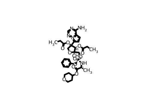 CCC(=O)O[C@@H]1[C@@](C)(COP(=O)(N[C@@H](C)C(=O)OC2CCOCC2)Oc2ccccc2)OC[C@]1(OC(=O)CC)c1ccc2c(N)ncnn12